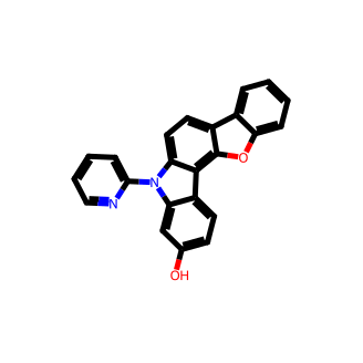 Oc1ccc2c3c4oc5ccccc5c4ccc3n(-c3ccccn3)c2c1